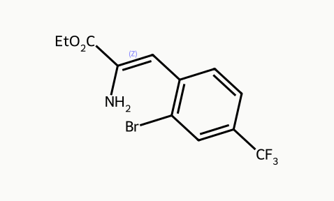 CCOC(=O)/C(N)=C/c1ccc(C(F)(F)F)cc1Br